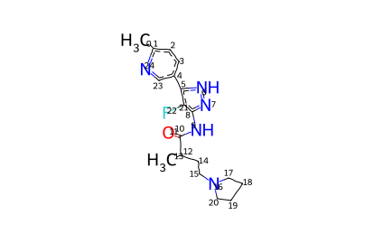 Cc1ccc(-c2[nH]nc(NC(=O)C(C)CCN3CCCC3)c2F)cn1